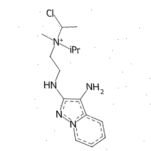 CC(C)[N+](C)(CCNc1nn2ccccc2c1N)C(C)Cl